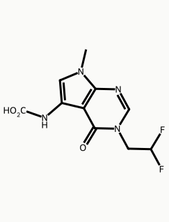 Cn1cc(NC(=O)O)c2c(=O)n(CC(F)F)cnc21